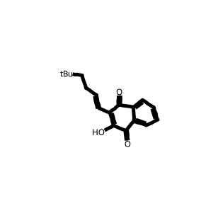 CC(C)(C)CCC=CC1=C(O)C(=O)c2ccccc2C1=O